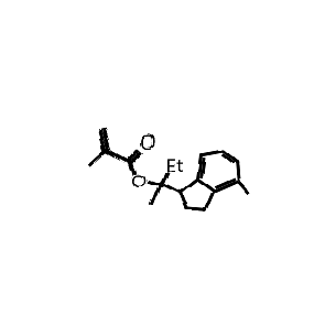 C=C(C)C(=O)OC(C)(CC)C1CCc2c(C)cccc21